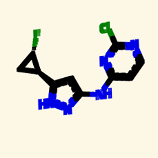 F[C@H]1C[C@@H]1c1cc(Nc2ccnc(Cl)n2)n[nH]1